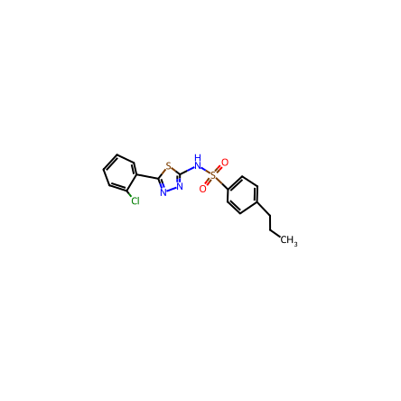 CCCc1ccc(S(=O)(=O)Nc2nnc(-c3ccccc3Cl)s2)cc1